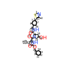 Cc1ncsc1-c1ccc(C(C)NC(=O)[C@@H]2C[C@@H](O)CN2C(=O)[C@@H](NC(=O)OCc2ccccc2)C(C)(C)C)cc1